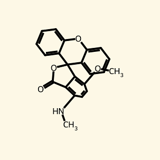 CNc1ccc(OC)c2c1C(=O)OC21c2ccccc2Oc2ccccc21